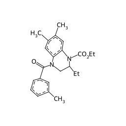 CCOC(=O)N1c2cc(C)c(C)cc2N(C(=O)c2cccc(C)c2)CC1CC